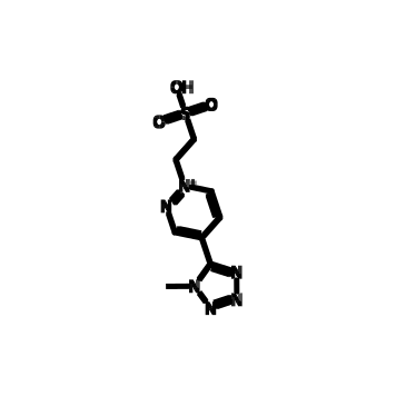 Cn1nnnc1-c1cc[n+](CCS(=O)(=O)O)nc1